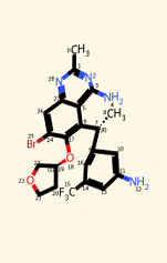 Cc1nc(N)c2c([C@H](C)c3cc(N)cc(C(F)(F)F)c3)c(O[C@H]3CCOC3)c(Br)cc2n1